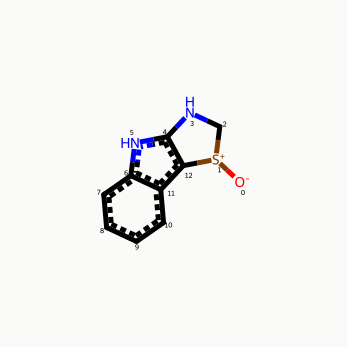 [O-][S+]1CNc2[nH]c3ccccc3c21